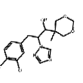 CC1(C(O)C(Cc2ccc(Cl)c(Cl)c2)n2cncn2)COCOC1